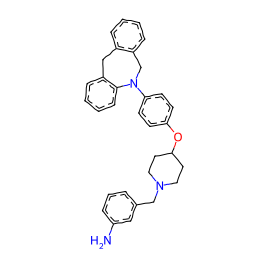 Nc1cccc(CN2CCC(Oc3ccc(N4Cc5ccccc5Cc5ccccc54)cc3)CC2)c1